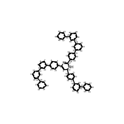 C1=C(c2ccc(-c3cccc(-c4cccc(-c5ccccc5)c4)c3)cc2)N=C(c2ccc(-c3cccc(-c4cccc(-c5ccccc5)c4)c3)cc2)NC1c1ccc(-c2cccc(-c3ccccc3)c2)cc1